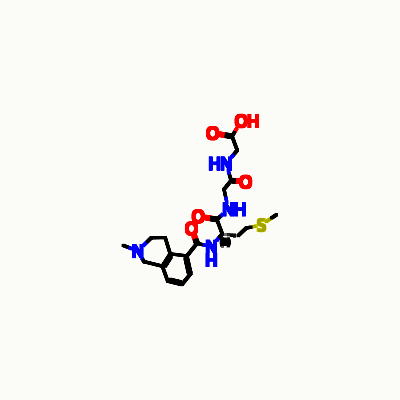 CSCC[C@H](NC(=O)c1cccc2c1CCN(C)C2)C(=O)NCC(=O)NCC(=O)O